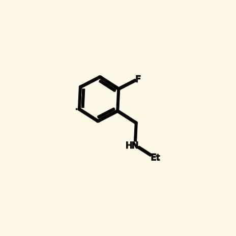 CCNCc1c[c]ccc1F